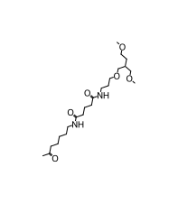 COCCC(COC)COCCCNC(=O)CCCC(=O)NCCCCCC(C)=O